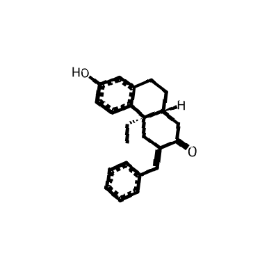 CC[C@@]12C/C(=C\c3ccccc3)C(=O)C[C@H]1CCc1cc(O)ccc12